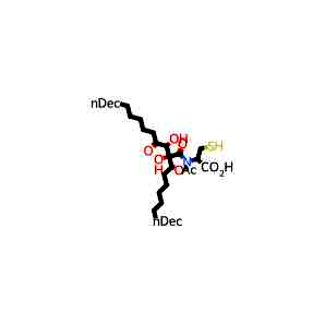 CCCCCCCCCCCCCCCC(=O)C(O)C(O)(C(=O)CCCCCCCCCCCCCCC)C(=O)N(C(C)=O)C(CS)C(=O)O